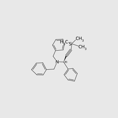 C[Si](C)(C)C#C[C@@H](c1ccccc1)N(Cc1ccccc1)Cc1ccccc1